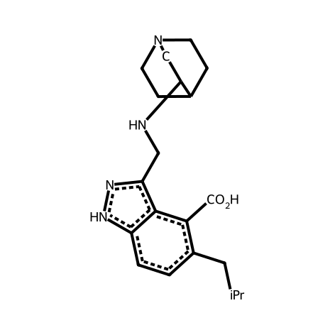 CC(C)Cc1ccc2[nH]nc(CNC3CN4CCC3CC4)c2c1C(=O)O